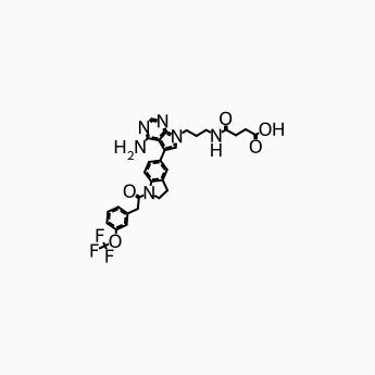 Nc1ncnc2c1c(-c1ccc3c(c1)CCN3C(=O)Cc1cccc(OC(F)(F)F)c1)cn2CCCNC(=O)CCC(=O)O